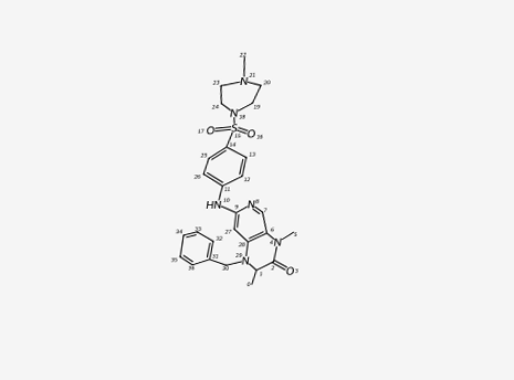 CC1C(=O)N(C)c2cnc(Nc3ccc(S(=O)(=O)N4CCN(C)CC4)cc3)cc2N1Cc1ccccc1